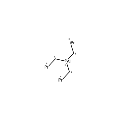 CC(C)[CH2][3Al]([CH2]C(C)C)[CH2]C(C)C